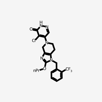 CCCOc1nc2c(n1Cc1ccccc1C(F)(F)F)CCN(c1cn[nH]c(=O)c1Cl)C2